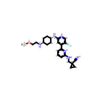 COCCN[C@H]1CC[C@H](Nc2cc(-c3cccc(NCC4(C#N)CC4)n3)c(F)cn2)CC1